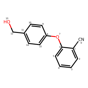 N#Cc1ccccc1Oc1ccc(CO)cc1